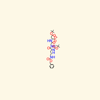 COC(=O)C(CC(=O)OC(C)(C)C)NC(=O)CNC(=O)C(CCCNC(=O)OCc1ccccc1)NC(=O)OC(C)(C)C